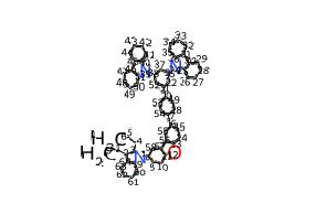 C=Cc1c(/C=C\C)n(-c2ccc3oc4ccc(-c5ccc(-c6cc(-n7c8ccccc8c8ccccc87)cc(-n7c8ccccc8c8ccccc87)c6)cc5)cc4c3c2)c2ccccc12